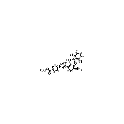 C[C@H](Oc1cc(-c2cn(C3CCN(C(=O)OC(C)(C)C)CC3)nn2)cnc1N)c1c(Cl)ccc(F)c1Cl